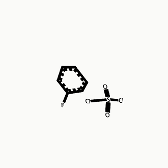 Fc1ccccc1.O=S(=O)(Cl)Cl